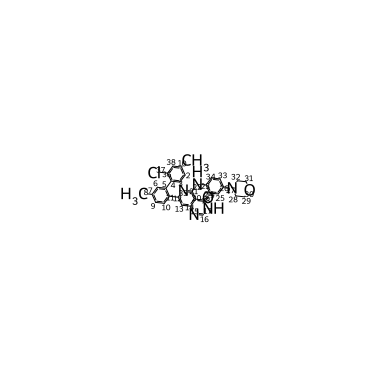 Cc1ccc(-c2cc(C)ccc2-c2cc3nc[nH]c(=O)c3c(Nc3ccc(N4CCOCC4)cc3)n2)c(Cl)c1